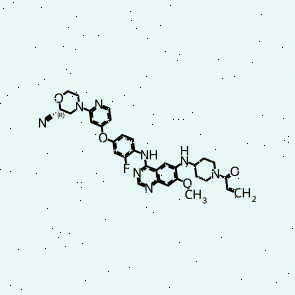 C=CC(=O)N1CCC(Nc2cc3c(Nc4ccc(Oc5ccnc(N6CCO[C@@H](C#N)C6)c5)cc4F)ncnc3cc2OC)CC1